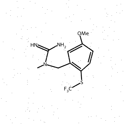 COc1ccc(SC(F)(F)F)c(CN(C)C(=N)N)c1